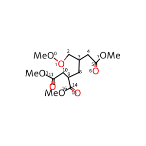 COOCC(CC(=O)OC)CC(CC(=O)OC)C(=O)OC